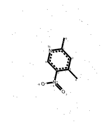 Cc1cc(C)c([N+](=O)[O-])cn1